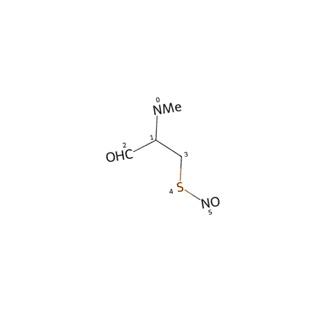 CNC(C=O)CSN=O